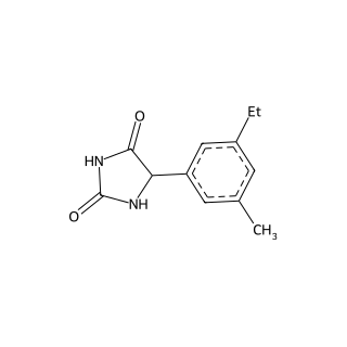 CCc1cc(C)cc(C2NC(=O)NC2=O)c1